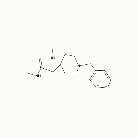 CNC(=O)CC1(NC)CCN(Cc2ccccc2)CC1